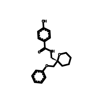 O=C(NC[C@@]1(COc2ccccc2)CCCCO1)c1ccc(O)cc1